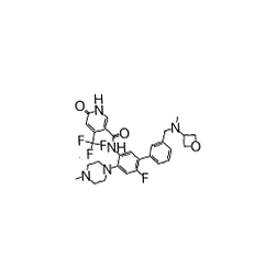 C[C@@H]1CN(c2cc(F)c(-c3cccc(CN(C)C4COC4)c3)cc2NC(=O)c2c[nH]c(=O)cc2C(F)(F)F)CCN1C